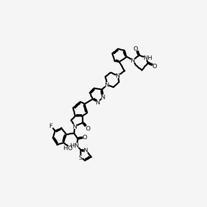 O=C1CCN(c2ccccc2CN2CCN(c3ccc(-c4ccc5c(c4)C(=O)N(C(C(=O)Nc4nccs4)c4cc(F)ccc4O)C5)nn3)CC2)C(=O)N1